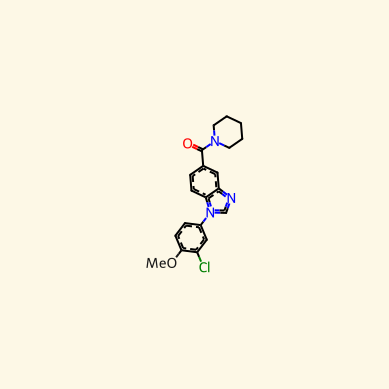 COc1ccc(-n2cnc3cc(C(=O)N4CCCCC4)ccc32)cc1Cl